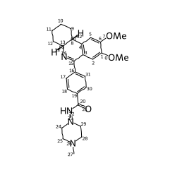 COc1cc2c(cc1OC)[C@H]1CCCC[C@H]1N=C2c1ccc(C(=O)NN2CCN(C)CC2)cc1